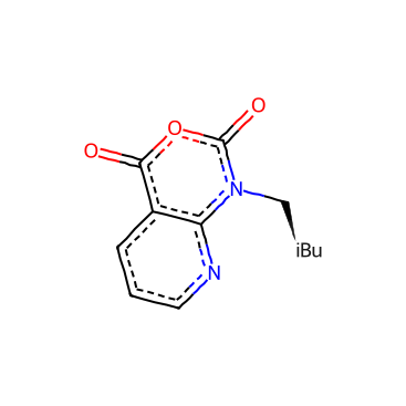 CC[C@H](C)Cn1c(=O)oc(=O)c2cccnc21